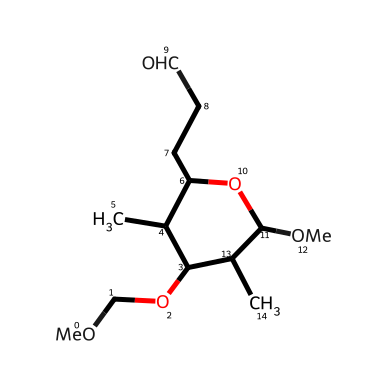 COCOC1C(C)C(CCC=O)OC(OC)C1C